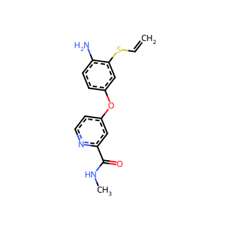 C=CSc1cc(Oc2ccnc(C(=O)NC)c2)ccc1N